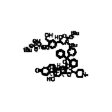 CC(C)(C)OC(=O)N(CC(O)c1ccc(O)c(CO)c1)C(C)(C)C.CC(C)(C)OP(=O)(O)OC(C)(C)C.CN1CCC(C2O[C@H]3C[C@H]4[C@@H]5CCC6=CC(=O)C=C[C@]6(C)C5(F)[C@@H](O)C[C@]4(C)[C@]3(C(=O)COC(c3ccccc3)(c3ccccc3)c3ccccc3)O2)CC1